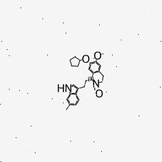 COc1cc2c(cc1OC1CCCC1)[C@H](CCc1c[nH]c3cc(C)ccc13)N(C=O)CC2